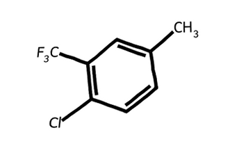 Cc1ccc(Cl)c(C(F)(F)F)c1